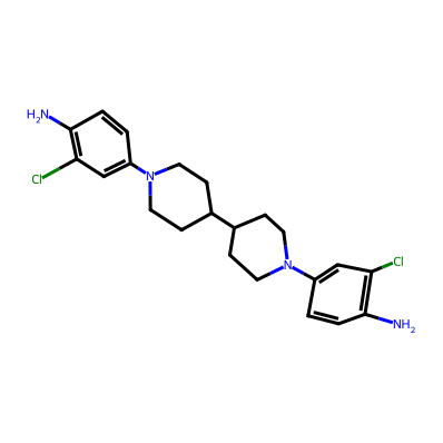 Nc1ccc(N2CCC(C3CCN(c4ccc(N)c(Cl)c4)CC3)CC2)cc1Cl